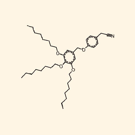 CCCCCCCCOc1cc(COc2ccc(CC#N)cc2)cc(OCCCCCCCC)c1OCCCCCCCC